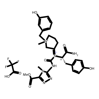 COC(=O)c1nnc(NC(=O)/[N+](=C2/CCC[N+](C)(Cc3cccc(O)c3)C2)[C@@H](Cc2ccc(O)cc2)C(N)=O)n1C.O=C(O)C(F)(F)F